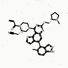 C=CC(=O)N1CCN(c2nc(OC[C@@H]3CCCN3C)nc3cc(-c4c(C)ccc5[nH]ncc45)c4ccoc4c23)C[C@@H]1CC#N